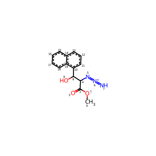 COC(=O)C(N=[N+]=N)C(O)c1cccc2ccccc12